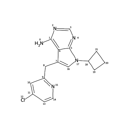 Nc1ncnc2c1c(Cc1cc(Cl)ccn1)cn2C1CCC1